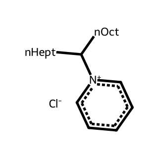 CCCCCCCCC(CCCCCCC)[n+]1ccccc1.[Cl-]